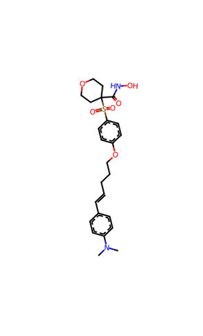 CN(C)c1ccc(/C=C/CCCOc2ccc(S(=O)(=O)C3(C(=O)NO)CCOCC3)cc2)cc1